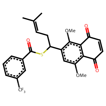 COc1cc(C(CC=C(C)C)SC(=O)c2cccc(C(F)(F)F)c2)c(OC)c2c1C(=O)C=CC2=O